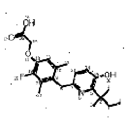 CCC(C)(C)c1nc(Cc2c(C)cc(OCC(=O)O)c(F)c2C)ccc1O